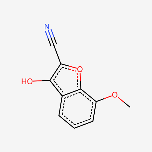 COc1cccc2c(O)c(C#N)oc12